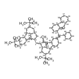 C=c1/c(=C\c2cc3cc(C(C)(C)C)cc4c5cc(C(C)(C)C)ccc5n2c34)c2cc(C(C)(C)C)cc3c4ccc(N(c5ccccc5)c5cccc6c5oc5ccccc56)cc4n1c23